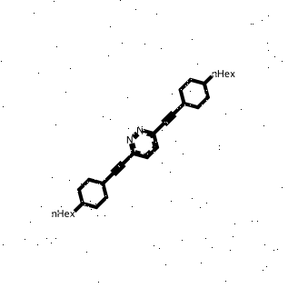 CCCCCCC1CCC(C#Cc2ccc(C#CC3CCC(CCCCCC)CC3)nn2)CC1